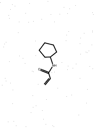 C=CC(=O)NC1[CH]CCCC1